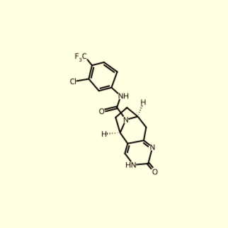 O=C(Nc1ccc(C(F)(F)F)c(Cl)c1)N1[C@H]2CC[C@@H]1c1c[nH]c(=O)nc1C2